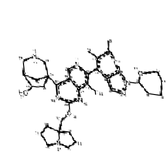 Cc1cc2c(cnn2C2CCCCO2)c(-c2ncc3c(C45CNCC(C4)C(O)C5)nc(OCC45CCCN4CCC5)nc3c2F)c1C